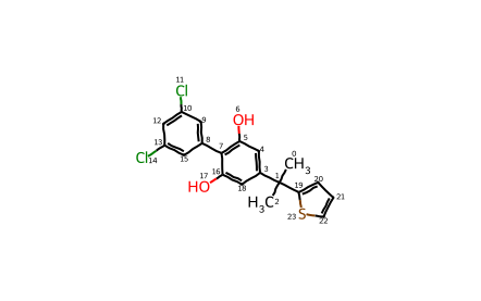 CC(C)(c1cc(O)c(-c2cc(Cl)cc(Cl)c2)c(O)c1)c1cccs1